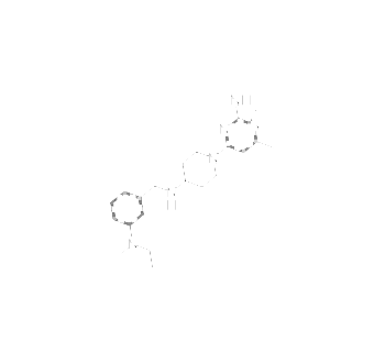 CCN(C)c1cccc(CNC2CCN(c3cc(C)nc(N)n3)CC2)c1